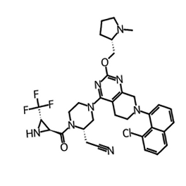 CN1CCC[C@H]1COc1nc2c(c(N3CCN(C(=O)[C@H]4N[C@@H]4C(F)(F)F)[C@@H](CC#N)C3)n1)CCN(c1cccc3cccc(Cl)c13)C2